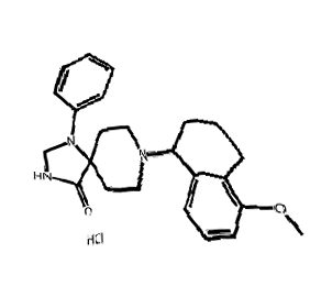 COc1cccc2c1CCCC2N1CCC2(CC1)C(=O)NCN2c1ccccc1.Cl